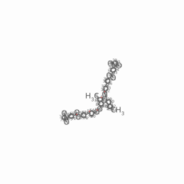 Cc1ccc2c(-c3c(OCOc4ccc(-c5ccc(OC(=O)c6ccc(N7C(=O)C=CC7=O)cc6)cc5)cc4)ccc4cc(C)ccc34)cc(OCOc3ccc(-c4ccc(OC(=O)c5ccc(N6C(=O)C=CC6=O)cc5)cc4)cc3)cc2c1